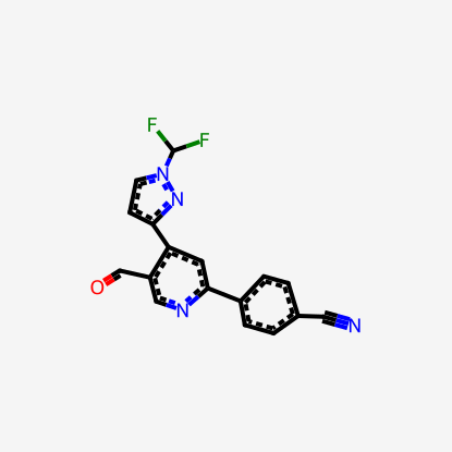 N#Cc1ccc(-c2cc(-c3ccn(C(F)F)n3)c(C=O)cn2)cc1